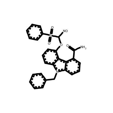 NC(=O)c1cccc2c1c1c(OC(N=O)S(=O)(=O)c3ccccc3)cccc1n2Cc1ccccc1